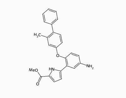 COC(=O)c1ccc(-c2cc(N)ccc2Oc2ccc(-c3ccccc3)c(C)c2)[nH]1